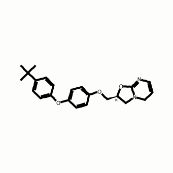 CC(C)(C)c1ccc(Oc2ccc(OC[C@@H]3CN4CC=CN=C4O3)cc2)cc1